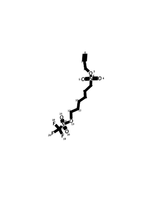 C#CCOS(=O)(=O)CCCCCCOS(=O)(=O)C(F)(F)F